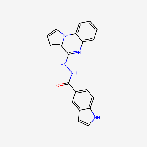 O=C(NNc1nc2ccccc2n2cccc12)c1ccc2[nH]ccc2c1